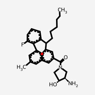 CCCCCCC(c1cccc(C(=O)N2C[C@@H](N)[C@@H](O)C2)c1)c1cccc(F)c1-c1cccc(C)c1